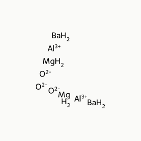 [Al+3].[Al+3].[BaH2].[BaH2].[MgH2].[MgH2].[O-2].[O-2].[O-2]